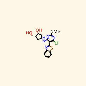 CNc1nc(Cl)c(-c2nc3ccccc3s2)c(N[C@@H]2C[C@H](CO)[C@@H](O)C2)n1